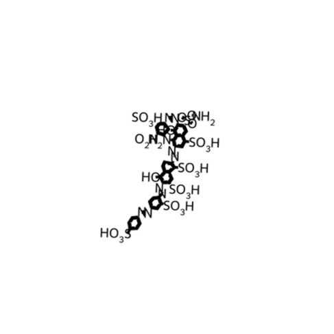 NOS(=O)(=O)c1cc2c(S(=O)(=O)O)cc(N=Nc3ccc4c(O)c(N=Nc5ccc(N=Nc6ccc(S(=O)(=O)O)cc6)cc5S(=O)(=O)O)c(S(=O)(=O)O)cc4c3S(=O)(=O)O)c(N)c2c(O)c1/N=N\c1ccc([N+](=O)[O-])cc1S(=O)(=O)O